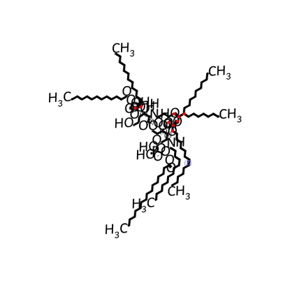 CCCCCC/C=C\CCCCCCCC(=O)OC(CCCCCCCCCCC)CC(=O)NC1[C@H](OCC2OC(OP(=O)(O)O)C(NC(=O)CC(CCCCCCCCCCC)OC(=O)CCCCCCCCCCCCCCC)[C@@H](OC(=O)CC(O)CCCCCCCCCCC)[C@@H]2O)OC(CO)C(OP(=O)(O)O)[C@@H]1OC(=O)CC(CCCCCCCCCCC)OC(=O)CCCCCCCCCCCC